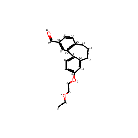 CCOCCOc1ccc2c(c1)CCCc1ccc(C=O)cc1-2